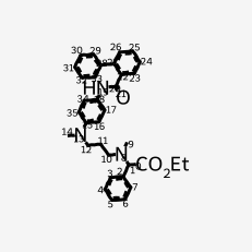 CCOC(=O)C(c1ccccc1)N(C)CCCN(C)c1ccc(NC(=O)c2ccccc2-c2ccccc2)cc1